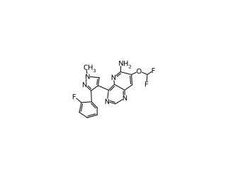 Cn1cc(-c2ncnc3cc(OC(F)F)c(N)nc23)c(-c2ccccc2F)n1